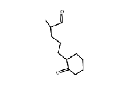 CC(C=O)CCCC1CCCCC1=O